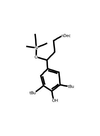 CCCCCCCCCCCCC(O[Si](C)(C)C)c1cc(C(C)(C)C)c(O)c(C(C)(C)C)c1